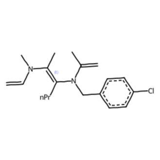 C=CN(C)/C(C)=C(\CCC)N(Cc1ccc(Cl)cc1)C(=C)C